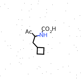 CC(=O)C(CC1CCC1)NC(=O)O